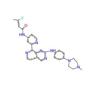 CC(F)=CC(=O)Nc1ccnc(-c2nccc3cnc(Nc4ccc(N5CCN(C)CC5)cc4)nc23)c1